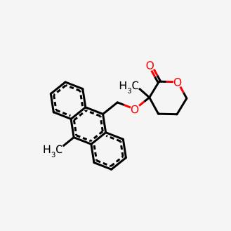 Cc1c2ccccc2c(COC2(C)CCCOC2=O)c2ccccc12